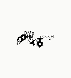 CCc1cnc(Nc2cc3c(cc2OC)CCN(C)C3)nc1N1C[C@](C)(CC(=O)O)c2ccccc21